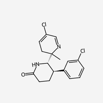 CC1([C@H]2NC(=O)CC[C@@H]2c2cccc(Cl)c2)CC=C(Cl)C=N1